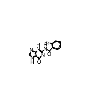 O=C(Nc1nc(=O)c2[nH]cnc2[nH]1)c1ccccc1Br